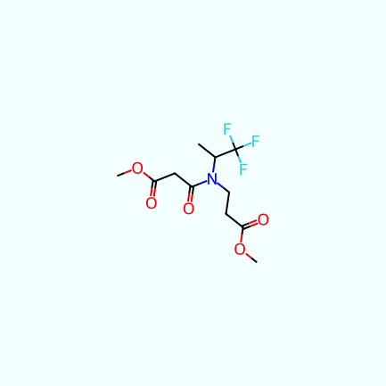 COC(=O)CCN(C(=O)CC(=O)OC)C(C)C(F)(F)F